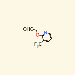 O=CCOc1ncccc1C(F)(F)F